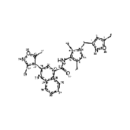 Cc1cc(Cn2nc(C)c(NC(=O)c3cc(-c4c(C)noc4C)nc4ccccc34)c2C)no1